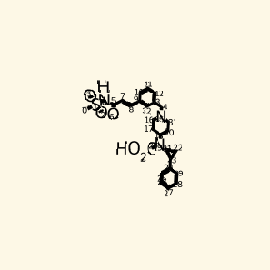 CS(=O)(=O)NC(=O)/C=C/c1cccc(CN2CCC(N(C(=O)O)C3CC3c3ccccc3)CC2)c1